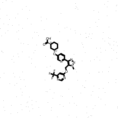 Cn1nnc(-c2ccc(O[C@H]3CCC[C@H](C(=O)O)C3)cn2)c1COc1cc(C(F)(F)F)ncn1